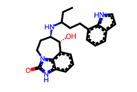 CCC(CCc1cccc2cc[nH]c12)N[C@@H]1CCn2c(=O)[nH]c3cccc(c32)[C@H]1O